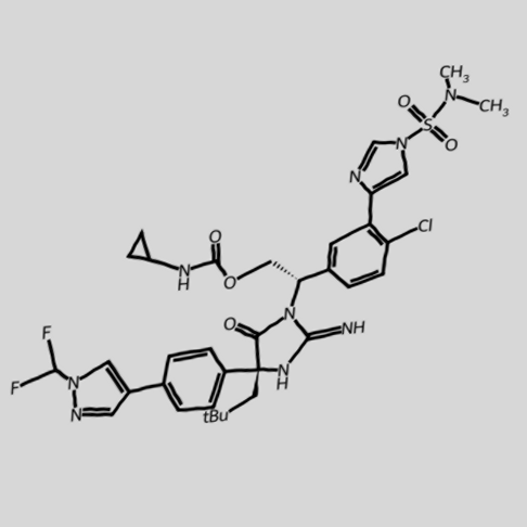 CN(C)S(=O)(=O)n1cnc(-c2cc([C@@H](COC(=O)NC3CC3)N3C(=N)N[C@](CC(C)(C)C)(c4ccc(-c5cnn(C(F)F)c5)cc4)C3=O)ccc2Cl)c1